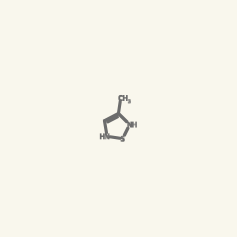 CC1=CNSN1